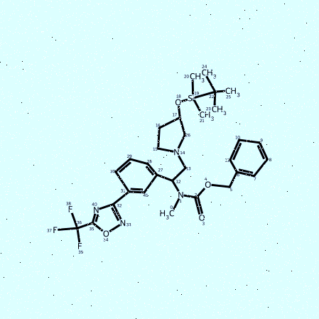 CN(C(=O)OCc1ccccc1)C(CN1CCC(O[Si](C)(C)C(C)(C)C)C1)c1cccc(-c2noc(C(F)(F)F)n2)c1